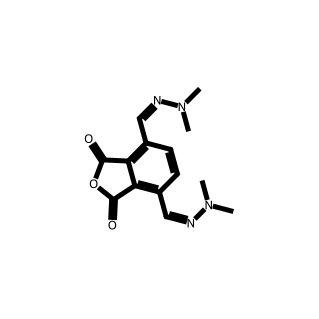 CN(C)/N=C\c1ccc(/C=N\N(C)C)c2c1C(=O)OC2=O